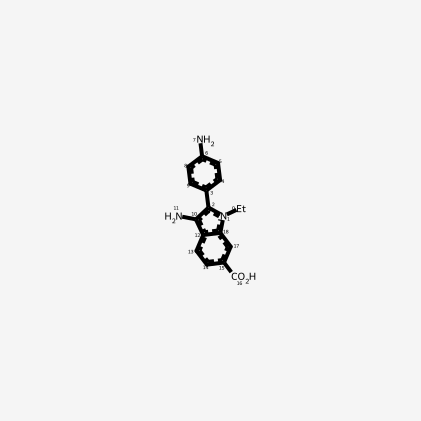 CCn1c(-c2ccc(N)cc2)c(N)c2ccc(C(=O)O)cc21